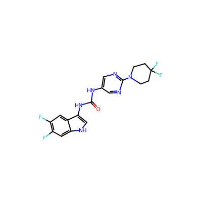 O=C(Nc1cnc(N2CCC(F)(F)CC2)nc1)Nc1c[nH]c2cc(F)c(F)cc12